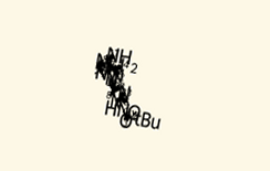 CC(C)(C)OC(=O)NCc1ncc(Cn2nc(I)c3c(N)ncnc32)cn1